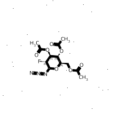 CC(=O)OC[C@H]1OC(N=[N+]=[N-])[C@H](F)[C@@H](OC(C)=O)[C@@H]1OC(C)=O